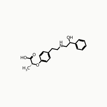 C[C@@H](Oc1ccc(CCNC[C@@H](O)c2ccccc2)cc1)C(=O)O